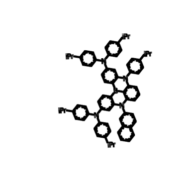 CC(C)c1ccc(N(c2ccc(C(C)C)cc2)c2ccc3c(c2)N(c2ccc(C(C)C)cc2)c2cccc4c2B3c2ccc(N(c3ccc(C(C)C)cc3)c3ccc(C(C)C)cc3)cc2N4c2ccc3ccccc3c2)cc1